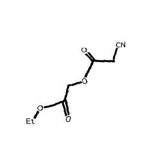 CCOC(=O)COC(=O)CC#N